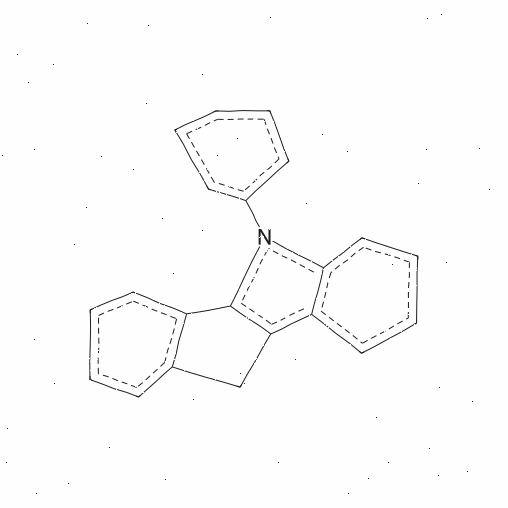 c1ccc(-n2c3c(c4ccccc42)Cc2ccccc2-3)cc1